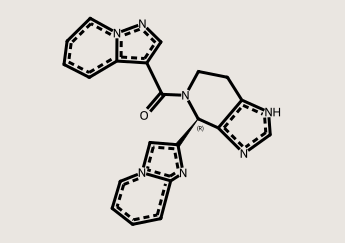 O=C(c1cnn2ccccc12)N1CCc2[nH]cnc2[C@H]1c1cn2ccccc2n1